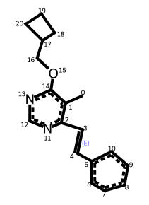 Cc1c(/C=C/c2ccccc2)ncnc1OCC1CCC1